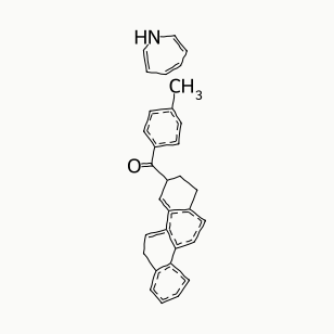 C1=CC=CNC=C1.Cc1ccc(C(=O)C2C=c3c(ccc4c3=CCc3ccccc3-4)CC2)cc1